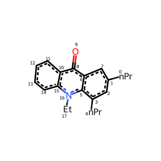 CCCc1cc(CCC)c2c(c1)c(=O)c1ccccc1n2CC